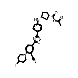 CC(=O)OC(=O)[C@H]1CC[C@@H](Nc2ccc(-c3noc(-c4ccc(N5CCC(F)CC5)c(C#N)c4)n3)cc2)C1